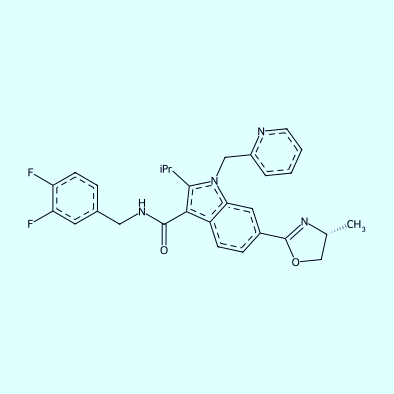 CC(C)c1c(C(=O)NCc2ccc(F)c(F)c2)c2ccc(C3=N[C@H](C)CO3)cc2n1Cc1ccccn1